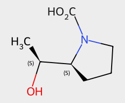 C[C@H](O)[C@@H]1CCCN1C(=O)O